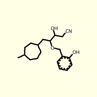 CC1CCCC(CC(OCc2ccccc2O)C(O)CC#N)CC1